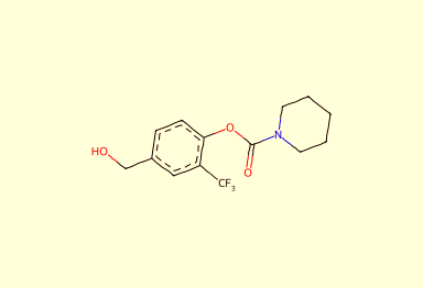 O=C(Oc1ccc(CO)cc1C(F)(F)F)N1CCCCC1